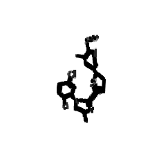 CSc1ncc(-c2ccc(-c3nc(C)cn3-c3cc(Cl)ccc3Cl)s2)cc1C